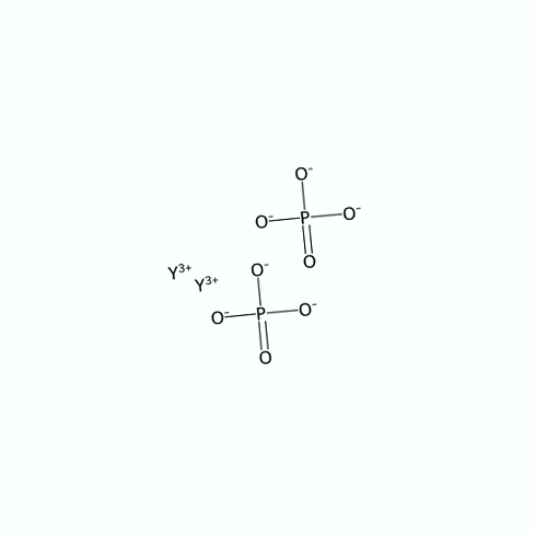 O=P([O-])([O-])[O-].O=P([O-])([O-])[O-].[Y+3].[Y+3]